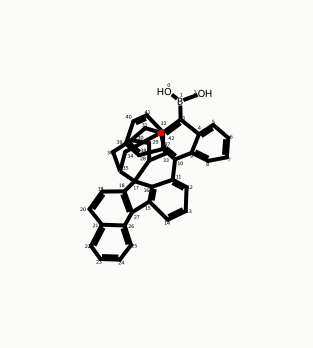 OB(O)c1c2ccccc2c(-c2cccc3c2C2(c4ccc5ccccc5c4-3)C3CC4CC(C3)CC2C4)c2ccccc12